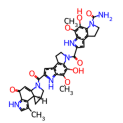 COc1c(O)c2c(c3cc(C(=O)N4CCc5c4c(O)c(OC)c4[nH]c(C(=O)N6C[C@H]7CC78C6=CC(=O)c6[nH]cc(C)c68)cc54)[nH]c13)CCN2C(N)=O